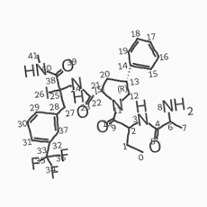 CCC(NC(=O)C(C)N)C(=O)N1C[C@@H](c2ccccc2)C[C@H]1C(=O)NC(I)(Cc1cccc(C(F)(F)F)c1)C(=O)NC